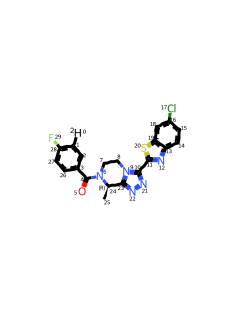 [2H]c1cc(C(=O)N2CCn3c(-c4nc5ccc(Cl)cc5s4)nnc3[C@H]2C)ccc1F